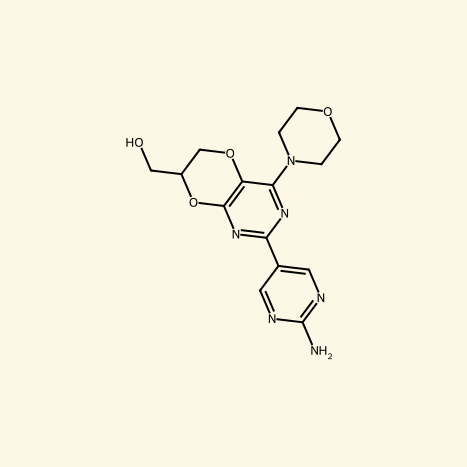 Nc1ncc(-c2nc3c(c(N4CCOCC4)n2)OCC(CO)O3)cn1